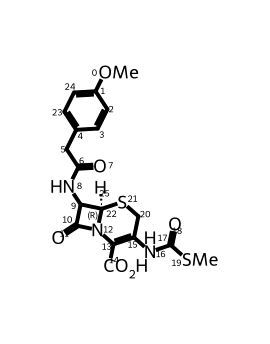 COc1ccc(CC(=O)NC2C(=O)N3C(C(=O)O)=C(NC(=O)SC)CS[C@H]23)cc1